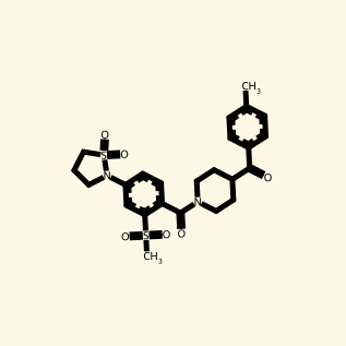 Cc1ccc(C(=O)C2CCN(C(=O)c3ccc(N4CCCS4(=O)=O)cc3S(C)(=O)=O)CC2)cc1